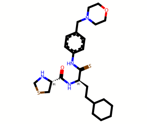 O=C(N[C@H](CCC1CCCCC1)C(=S)Nc1ccc(CN2CCOCC2)cc1)[C@@H]1CSCN1